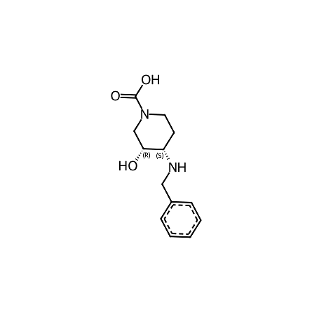 O=C(O)N1CC[C@H](NCc2ccccc2)[C@H](O)C1